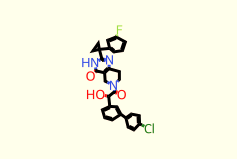 O=C(C(O)c1cccc(-c2ccc(Cl)cc2)c1)N1CCc2nc(C3(c4cccc(F)c4)CC3)[nH]c(=O)c2C1